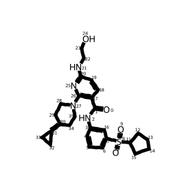 O=C(Nc1cccc(S(=O)(=O)C2CCCC2)c1)c1ccc(NCCO)nc1N1CCC(=C2CC2)CC1